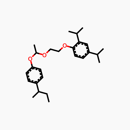 CCC(C)c1ccc(OC(C)OCCOc2ccc(C(C)C)cc2C(C)C)cc1